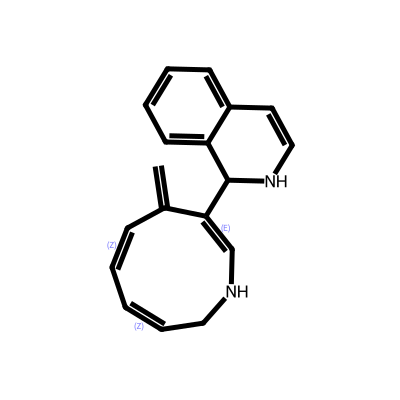 C=C1/C=C\C=C/CN/C=C\1C1NC=Cc2ccccc21